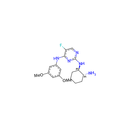 COc1cc(Nc2nc(N[C@@H]3CCCC[C@H]3N)ncc2F)cc(OC)c1